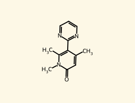 Cc1cc(=O)n(C)c(C)c1-c1ncccn1